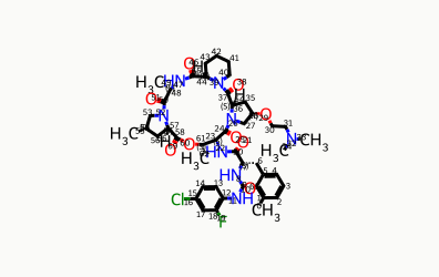 Cc1cccc(C[C@H](NC(=O)Nc2ccc(Cl)cc2F)C(=O)N[C@@H]2C(=O)N3C[C@H](OCCN(C)C)C[C@H]3C(=O)N3CCCC[C@H]3C(=O)N[C@@H](C)C(=O)N3C[C@H](C)C[C@H]3C(=O)O[C@H]2C)c1